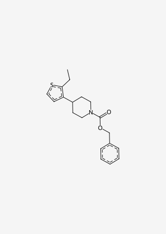 CCc1sccc1C1CCN(C(=O)OCc2ccccc2)CC1